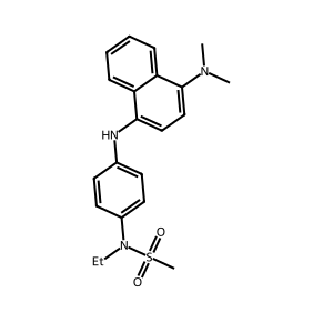 CCN(c1ccc(Nc2ccc(N(C)C)c3ccccc23)cc1)S(C)(=O)=O